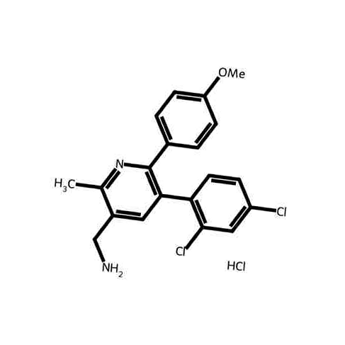 COc1ccc(-c2nc(C)c(CN)cc2-c2ccc(Cl)cc2Cl)cc1.Cl